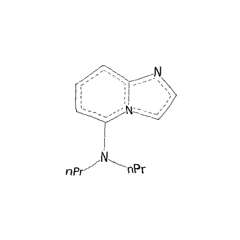 CCCN(CCC)c1cccc2nccn12